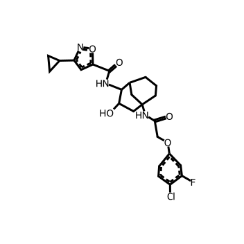 O=C(COc1ccc(Cl)c(F)c1)NC12CCCC(C1)C(NC(=O)c1cc(C3CC3)no1)C(O)C2